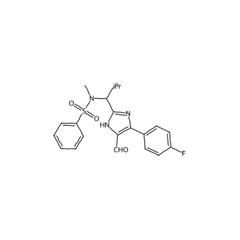 CC(C)C(c1nc(-c2ccc(F)cc2)c(C=O)[nH]1)N(C)S(=O)(=O)c1ccccc1